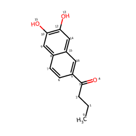 CCCC(=O)c1ccc2cc(O)c(O)cc2c1